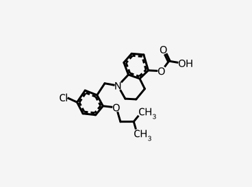 CC(C)COc1ccc(Cl)cc1CN1CCCc2c(OC(=O)O)cccc21